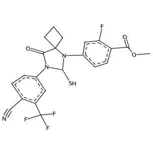 COC(=O)c1ccc(N2C(S)N(c3ccc(C#N)c(C(F)(F)F)c3)C(=O)C23CCC3)cc1F